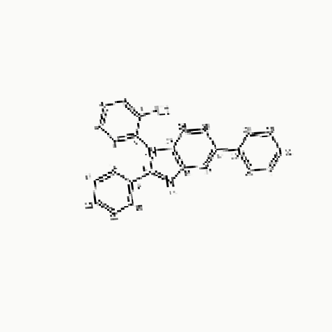 CCc1ccccc1-n1c(-c2ccccc2)nc2cc(-c3ccccc3)ccc21